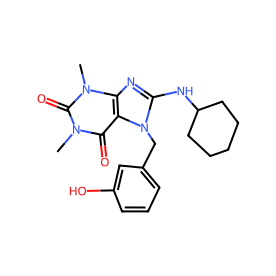 Cn1c(=O)c2c(nc(NC3CCCCC3)n2Cc2cccc(O)c2)n(C)c1=O